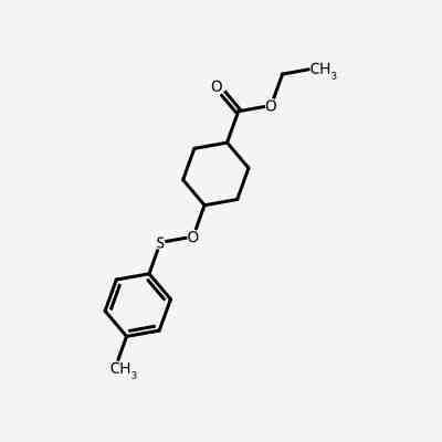 CCOC(=O)C1CCC(OSc2ccc(C)cc2)CC1